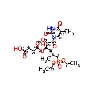 CCOP(=O)(C[C@H](C)[C@H]1O[C@@H](n2cc(C)c(=O)[nH]c2=O)[C@H](O)[C@@H]1OC(=O)CCC(=O)O)OCC